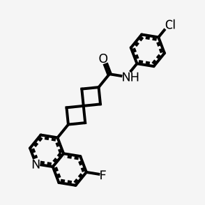 O=C(Nc1ccc(Cl)cc1)C1CC2(C1)CC(c1ccnc3ccc(F)cc13)C2